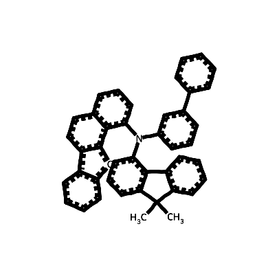 CC1(C)c2ccccc2-c2c(N(c3cccc(-c4ccccc4)c3)c3cccc4ccc5c6ccccc6oc5c34)cccc21